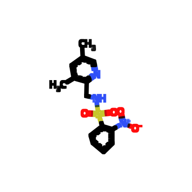 Cc1cnc(CNS(=O)(=O)c2ccccc2[N+](=O)[O-])c(C)c1